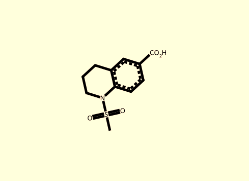 CS(=O)(=O)N1CCCc2cc(C(=O)O)ccc21